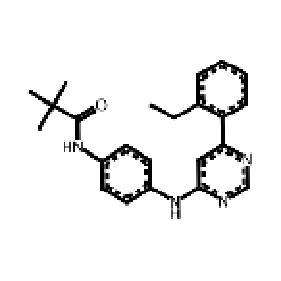 CCc1ccccc1-c1cc(Nc2ccc(NC(=O)C(C)(C)C)cc2)ncn1